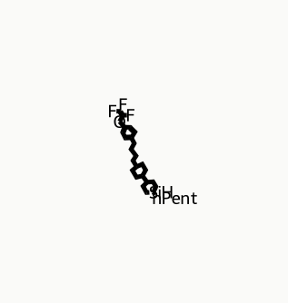 CCCCC[SiH]1CCC(C2CCC(CCCCc3ccc(OC(F)=C(F)F)cc3)CC2)CC1